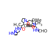 CCC(C)C(C(CC(=O)N1CCCC1C(OC)C(C)C(=O)NCc1cc[nH]n1)OC)N(C)C(=O)CNC=O